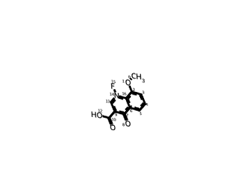 COc1cccc2c(=O)c(C(=O)O)cn(F)c12